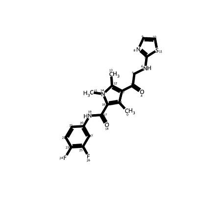 Cc1c(C(=O)CNc2nccs2)c(C)n(C)c1C(=O)Nc1ccc(F)c(F)c1